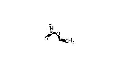 C=CO[SH](=S)=S